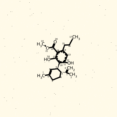 C=C(C)[C@@H]1CCC(C)=C[C@H]1c1c(O)cc(CCC)c(C(=O)OC)c1O